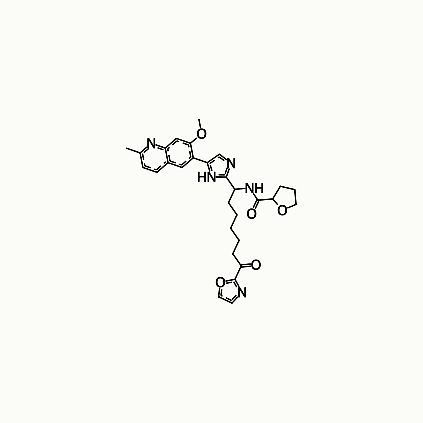 COc1cc2nc(C)ccc2cc1-c1cnc(C(CCCCCC(=O)c2ncco2)NC(=O)C2CCCO2)[nH]1